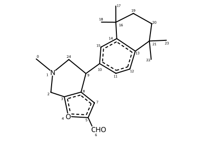 CN1Cc2oc(C=O)cc2C(c2ccc3c(c2)C(C)(C)CCC3(C)C)C1